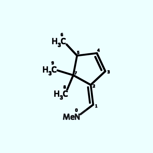 CN/C=C1/C=CC(C)C1(C)C